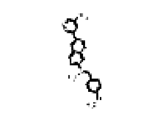 COc1ccc(CN(C)c2cc3ncc(-c4cc(N)cnn4)cc3cn2)cc1